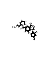 Cc1cc(I)ccc1N1COC(=O)c2cc(C(=O)N3CCCCC3CCO)c(F)c(F)c21